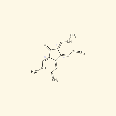 C=CC=C1C(=C/C=C)/C(=C\NC)C(=O)/C1=C/NC